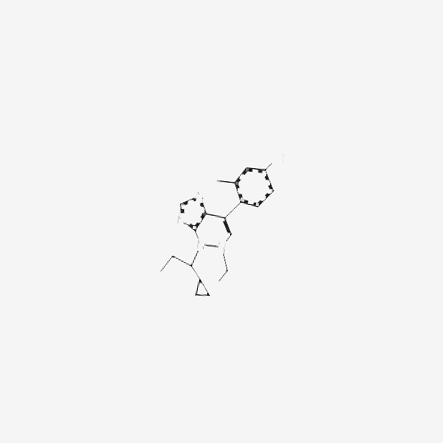 CCC(C1CC1)N1c2[nH]cnc2C(c2ccc(Cl)cc2Cl)=CN1CC